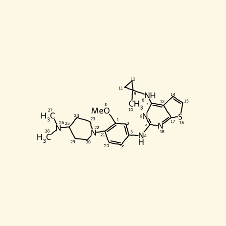 COc1cc(Nc2nc(NC3(C)CC3)c3ccsc3n2)ccc1N1CCC(N(C)C)CC1